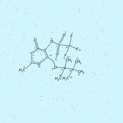 Cc1cc(=O)c(OS(=O)(=O)C(F)(F)F)c(CO[Si](C)(C)C(C)(C)C)o1